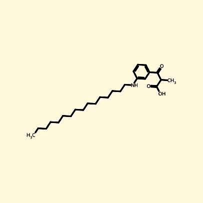 CCCCCCCCCCCCCCCCNc1cccc(C(=O)C(C)C(=O)O)c1